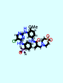 C=C(CN1CCS(=O)(=O)CC1)C(=O)Nc1ccc(OC)c(Nc2ncc(Cl)c(Nc3ccccc3P(C)(C)=O)n2)c1